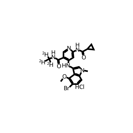 Cl.[2H]C([2H])([2H])NC(=O)c1cnc(NC(=O)C2CC2)cc1Nc1cn(C)c2ccc(Br)c(OC)c12